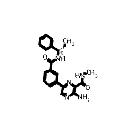 CC[C@H](NC(=O)c1cccc(-c2cnc(N)c(C(=O)NC)n2)c1)c1ccccc1